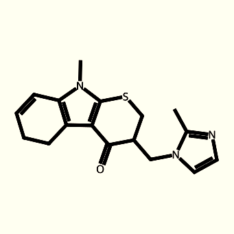 Cc1nccn1CC1CSc2c(c3c(n2C)C=CCC3)C1=O